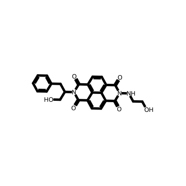 O=C1c2ccc3c4c(ccc(c24)C(=O)N1NCCO)C(=O)N(C(CO)Cc1ccccc1)C3=O